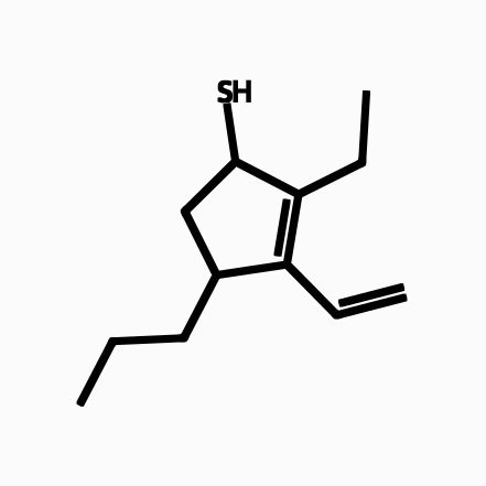 C=CC1=C(CC)C(S)CC1CCC